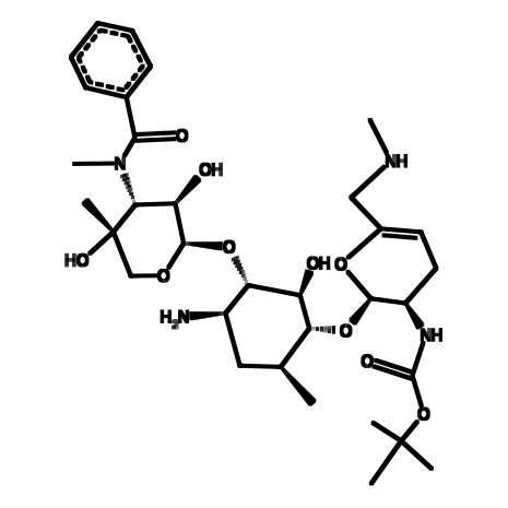 CNCC1=CC[C@@H](NC(=O)OC(C)(C)C)[C@@H](O[C@H]2[C@H](O)[C@@H](O[C@H]3OC[C@](C)(O)[C@H](N(C)C(=O)c4ccccc4)[C@H]3O)[C@H](N)C[C@@H]2C)O1